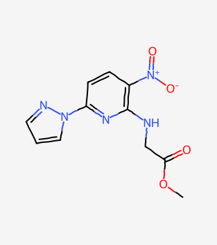 COC(=O)CNc1nc(-n2cccn2)ccc1[N+](=O)[O-]